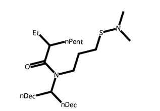 CCCCCCCCCCC(CCCCCCCCCC)N(CCCSN(C)C)C(=O)C(CC)CCCCC